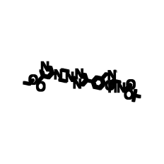 CCOC(=O)c1cncc(N2CCN(c3ncc(-c4cccc(CN(C)C(=O)CNC(=O)OC(C)(C)C)c4)cn3)CC2)c1